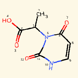 CC(C(=O)O)n1c(=O)cc[nH]c1=O